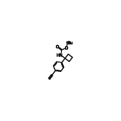 C#Cc1ccc(C2(NC(=O)OC(C)(C)C)CCC2)cc1